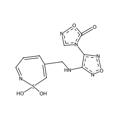 O=c1oncn1-c1nonc1NCC1=CS(O)(O)N=CC=C1